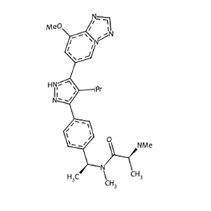 CN[C@@H](C)C(=O)N(C)[C@@H](C)c1ccc(-c2n[nH]c(-c3cc(OC)c4ncnn4c3)c2C(C)C)cc1